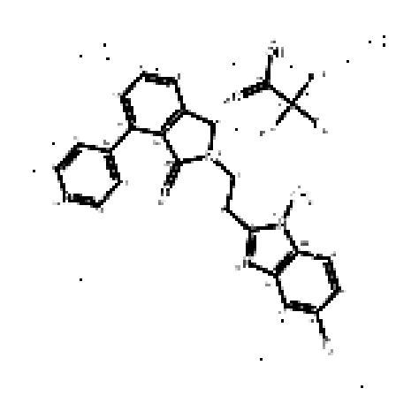 Cn1c(CCN2Cc3cccc(-c4ccncc4)c3C2=O)nc2cc(F)ccc21.O=C(O)C(F)(F)F